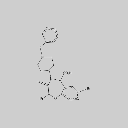 CC(C)C1Oc2ccc(Br)cc2C(C(=O)O)N(C2CCN(Cc3ccccc3)CC2)C1=O